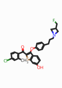 Cc1cc(Cl)ccc1C(=O)c1sc2cc(O)ccc2c1Oc1ccc(CCCN2CC(CF)C2)cc1